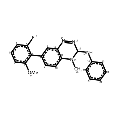 COc1cccc(F)c1-c1ccc2c(c1)N=NC(Nc1ccccc1)N2C